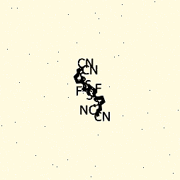 N#CC(C#N)=Cc1ccc(-c2sc3c(F)c(-c4ccc(C=C(C#N)C#N)s4)sc3c2F)s1